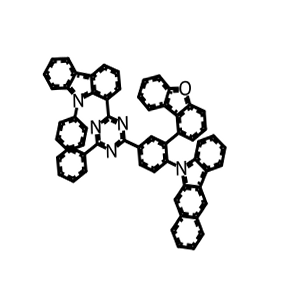 c1ccc(-c2nc(-c3ccc(-n4c5ccccc5c5cc6ccccc6cc54)c(-c4cccc5oc6ccccc6c45)c3)nc(-c3cccc4c5ccccc5n(-c5ccccc5)c34)n2)cc1